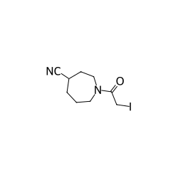 N#CC1CCCN(C(=O)CI)CC1